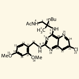 CCCCC(C)(CNC(C)=O)Nc1nc(NCc2ccc(OC)cc2OC)nc2cc(Cl)cnc12